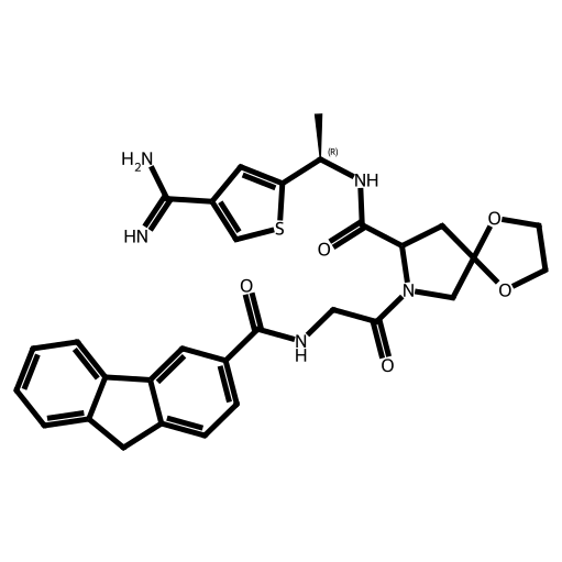 C[C@@H](NC(=O)C1CC2(CN1C(=O)CNC(=O)c1ccc3c(c1)-c1ccccc1C3)OCCO2)c1cc(C(=N)N)cs1